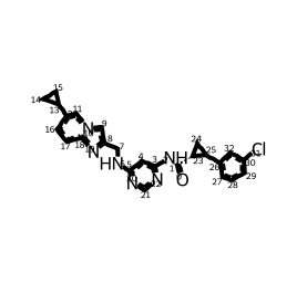 O=C(Nc1cc(NCc2cn3cc(C4CC4)ccc3n2)ncn1)[C@@H]1CC1c1cccc(Cl)c1